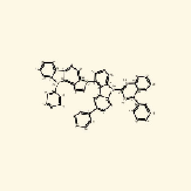 c1ccc(-c2ccc3c(c2)c2c(-n4ccc5c4ccc4c6ccccc6n(-c6ccccc6)c45)cccc2n3-c2nc(-c3ccccc3)c3ccccc3n2)cc1